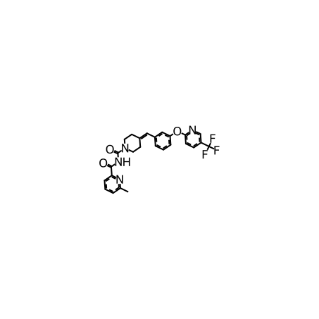 Cc1cccc(C(=O)NC(=O)N2CCC(=Cc3cccc(Oc4ccc(C(F)(F)F)cn4)c3)CC2)n1